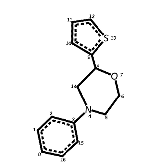 c1ccc(N2CCOC(c3cccs3)C2)cc1